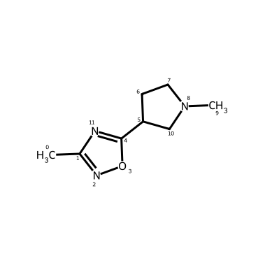 Cc1noc(C2CCN(C)C2)n1